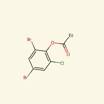 C[CH]C(=O)Oc1c(Cl)cc(Br)cc1Br